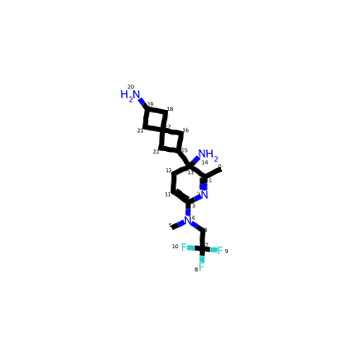 CC1=NC(N(C)CC(F)(F)F)=CCC1(N)C1CC2(CC(N)C2)C1